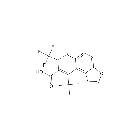 CC(C)(C)C1=C(C(=O)O)C(C(F)(F)F)Oc2ccc3occc3c21